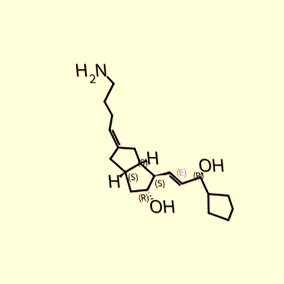 NCCCC=C1C[C@H]2C[C@@H](O)[C@H](/C=C/[C@H](O)C3CCCC3)[C@H]2C1